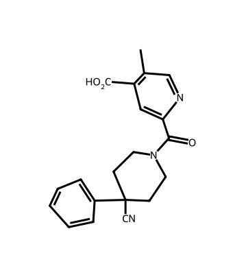 Cc1cnc(C(=O)N2CCC(C#N)(c3ccccc3)CC2)cc1C(=O)O